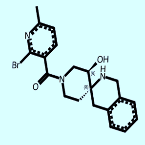 Cc1ccc(C(=O)N2CC[C@]3(Cc4ccccc4CN3)[C@H](O)C2)c(Br)n1